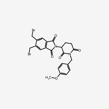 COc1ccc(CN2C(=O)CCC(N3C(=O)c4cc(CBr)c(CBr)cc4C3=O)C2=O)cc1